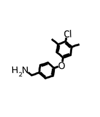 Cc1cc(Oc2ccc(CN)cc2)cc(C)c1Cl